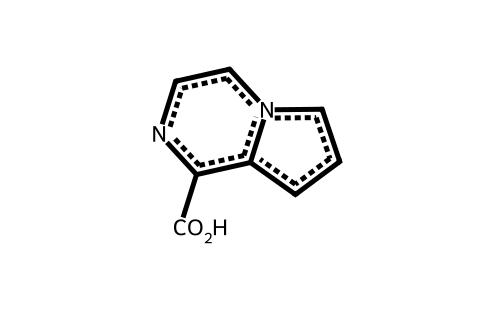 O=C(O)c1nccn2cccc12